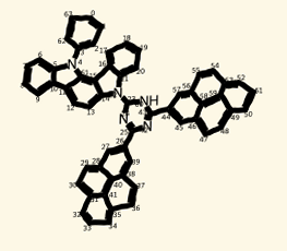 c1ccc(-n2c3ccccc3c3ccc4c(c5ccccc5n4C4N=C(c5cc6ccc7cccc8ccc(c5)c6c78)N=C(c5cc6ccc7cccc8ccc(c5)c6c78)N4)c32)cc1